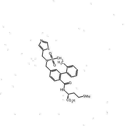 CSCC[C@H](NC(=O)c1ccc(CN(Cc2cncs2)S(C)(=O)=O)cc1-c1ccccc1C)C(=O)O